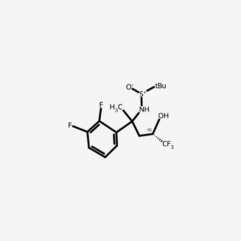 CC(C[C@H](O)C(F)(F)F)(N[S+]([O-])C(C)(C)C)c1cccc(F)c1F